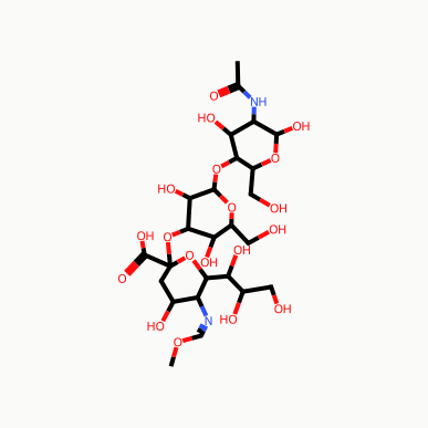 CO/C=N\C1C(O)CC(OC2C(O)C(CO)OC(OC3C(CO)OC(O)C(NC(C)=O)C3O)C2O)(C(=O)O)OC1C(O)C(O)CO